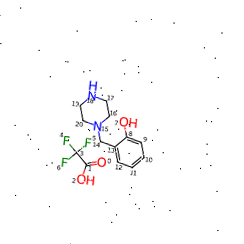 O=C(O)C(F)(F)F.Oc1ccccc1CN1CCNCC1